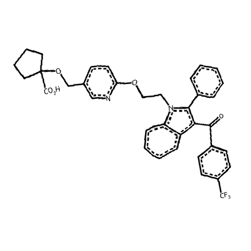 O=C(c1ccc(C(F)(F)F)cc1)c1c(-c2ccccc2)n(CCOc2ccc(COC3(C(=O)O)CCCC3)cn2)c2ccccc12